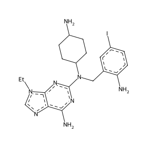 CCn1cnc2c(N)nc(N(Cc3cc(I)ccc3N)C3CCC(N)CC3)nc21